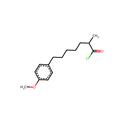 COc1ccc(CCCCCC(C)C(=O)Cl)cc1